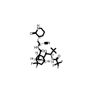 CC(C)(C)[C@@H](NC(=O)C(F)(F)F)C(=O)N1[C@H]2CC[C@@H]([C@H]1C(=O)N[C@@H](C#N)C[C@H]1CCCNC1=O)C(F)(F)C2